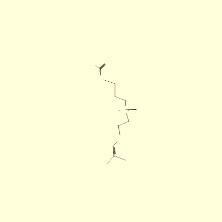 CC(C)=C[SiH2]CC[Si](C)(C)CCCOC(=O)O